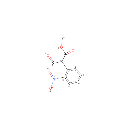 COC(=O)C(C=O)c1ccccc1[N+](=O)[O-]